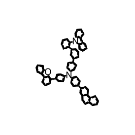 c1cc(-c2ccc(N(c3ccc(-c4ccc5c(ccc6ccccc65)c4)cc3)c3ccc(-c4cccc5c4oc4ccccc45)cc3)cc2)cc(-c2ccccc2-n2c3ccccc3c3ccccc32)c1